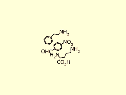 NCCC[C@@H](N)C(=O)O.NCCc1ccccc1.O=Cc1ccc([N+](=O)[O-])cc1